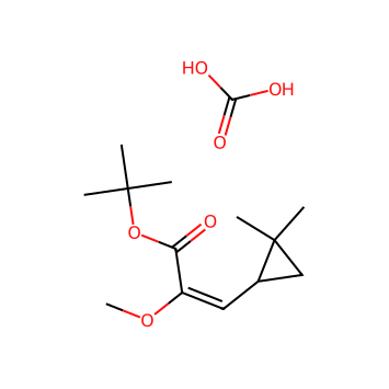 CO/C(=C/C1CC1(C)C)C(=O)OC(C)(C)C.O=C(O)O